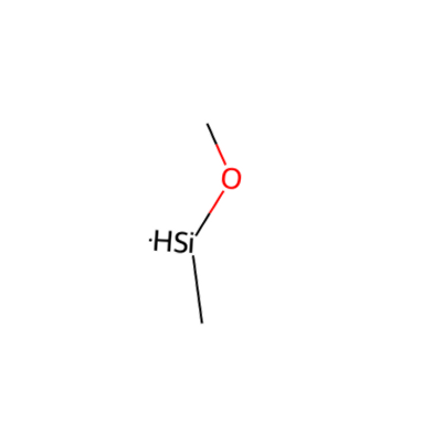 CO[SiH]C